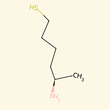 B[C@H](C)CCCCS